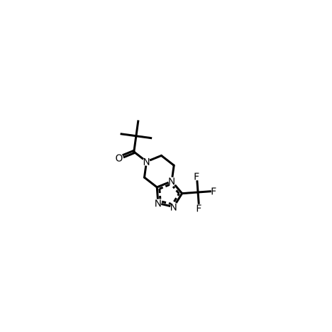 CC(C)(C)C(=O)N1CCn2c(nnc2C(F)(F)F)C1